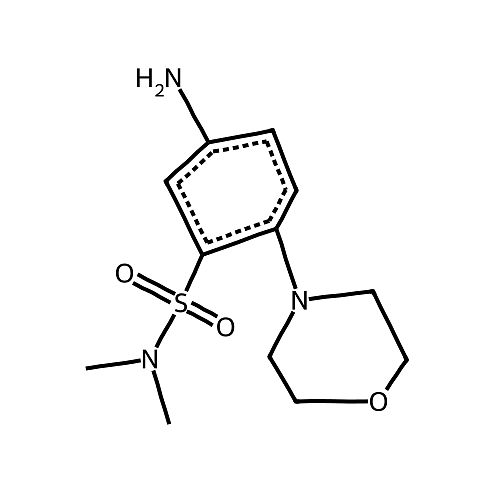 CN(C)S(=O)(=O)c1cc(N)ccc1N1CCOCC1